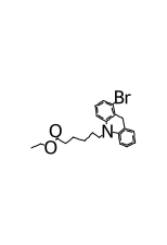 CCOC(=O)CCCCCN1c2ccccc2Cc2c(Br)cccc21